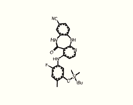 Cc1cc(F)c(Nc2ccnc3c2C(=O)Nc2cc(C#N)ccc2N3)cc1O[Si](C)(C)C(C)(C)C